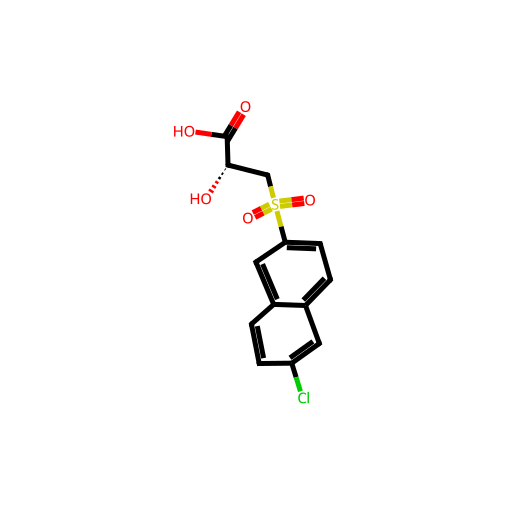 O=C(O)[C@@H](O)CS(=O)(=O)c1ccc2cc(Cl)ccc2c1